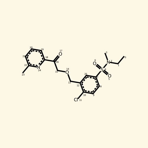 CCN(C)S(=O)(=O)c1ccc(Cl)c(COCC(=O)c2cccc(C)n2)c1